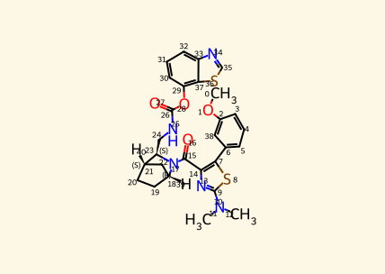 COc1cccc(-c2sc(N(C)C)nc2C(=O)N2[C@@H]3CC[C@@H](C3)[C@H]2CNC(=O)Oc2cccc3ncsc23)c1